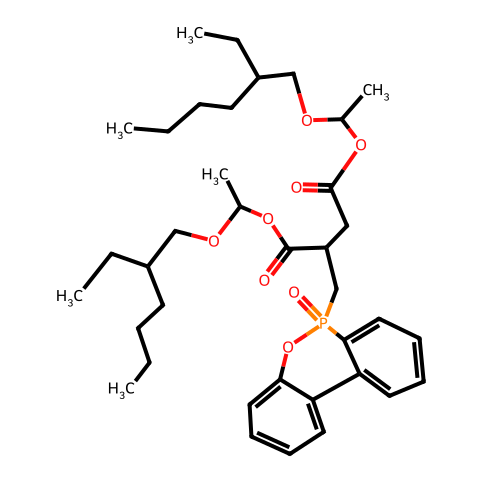 CCCCC(CC)COC(C)OC(=O)CC(CP1(=O)Oc2ccccc2-c2ccccc21)C(=O)OC(C)OCC(CC)CCCC